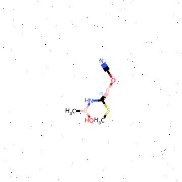 CS/C(=B\OC#N)NB(C)O